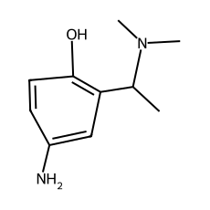 CC(c1cc(N)ccc1O)N(C)C